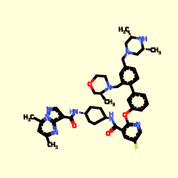 Cc1cc(C)n2ncc(C(=O)N[C@H]3CC[C@@H](NC(=O)c4cc(F)cnc4Oc4cccc(-c5ccc(CN6C[C@@H](C)N[C@@H](C)C6)cc5CN5CCOC[C@@H]5C)c4)CC3)c2n1